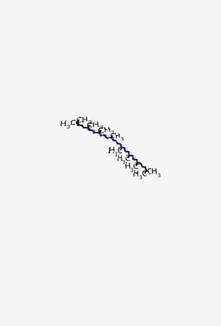 CC(C)=CCC/C(C)=C/C=C/C(C)=C/C=C/C(C)=C/C=C/C=C(C)/C=C/C=C(C)/C=C/C=C(\C)CCCC(C)C